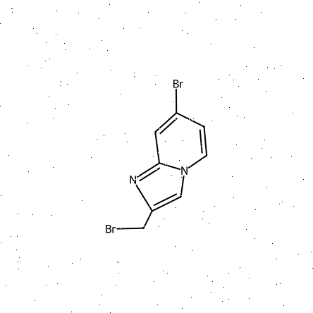 BrCc1cn2ccc(Br)cc2n1